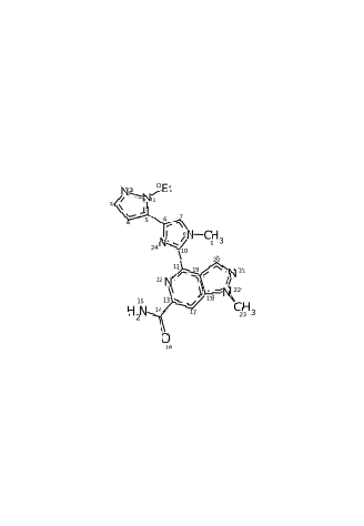 CCn1nccc1-c1cn(C)c(-c2nc(C(N)=O)cc3c2cnn3C)n1